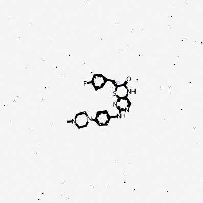 CN1CCN(c2ccc(Nc3ncc4c(n3)S/C(=C\c3ccc(F)cc3)C(=O)N4)cc2)CC1